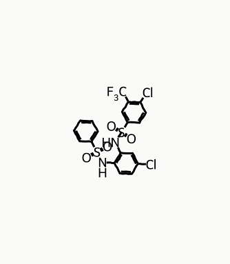 O=S(=O)(Nc1ccc(Cl)cc1NS(=O)(=O)c1ccc(Cl)c(C(F)(F)F)c1)c1ccccc1